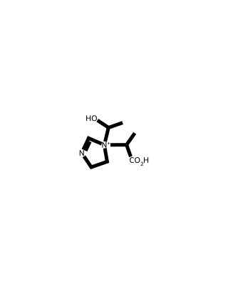 CC(O)[N+]1(C(C)C(=O)O)C=NCC1